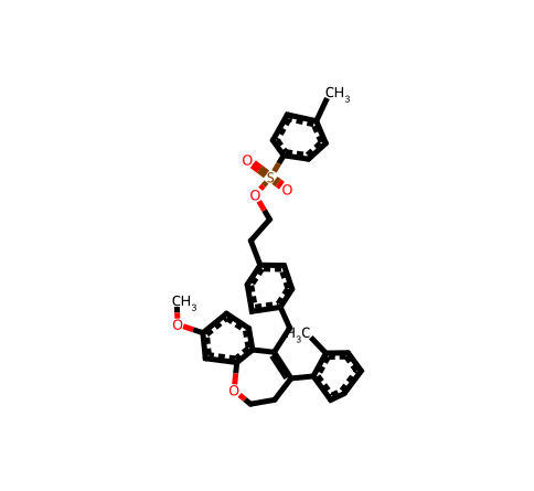 COc1ccc2c(c1)OCCC(c1ccccc1C)=C2Cc1ccc(CCOS(=O)(=O)c2ccc(C)cc2)cc1